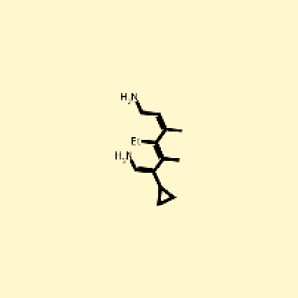 CCC(/C(C)=C\CN)=C(C)\C(=C/N)C1CC1